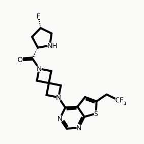 O=C([C@@H]1C[C@H](F)CN1)N1CC2(C1)CN(c1ncnc3sc(CC(F)(F)F)cc13)C2